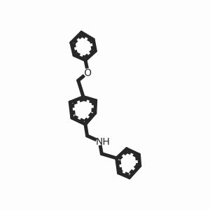 c1ccc(CNCc2ccc(COc3ccccc3)cc2)cc1